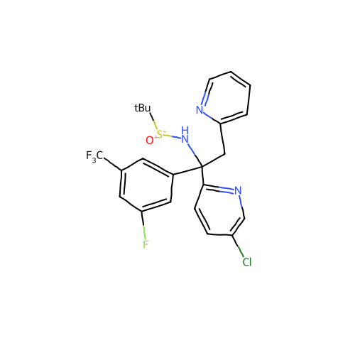 CC(C)(C)[S+]([O-])NC(Cc1ccccn1)(c1cc(F)cc(C(F)(F)F)c1)c1ccc(Cl)cn1